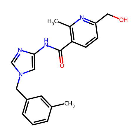 Cc1cccc(Cn2cnc(NC(=O)c3ccc(CO)nc3C)c2)c1